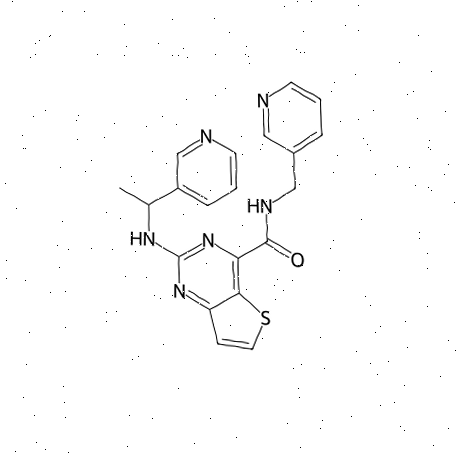 CC(Nc1nc(C(=O)NCc2cccnc2)c2sccc2n1)c1cccnc1